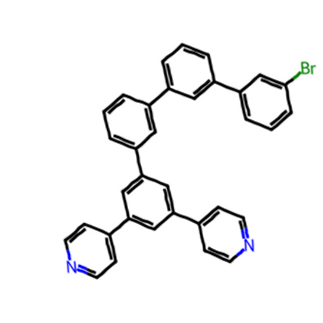 Brc1cccc(-c2cccc(-c3cccc(-c4cc(-c5ccncc5)cc(-c5ccncc5)c4)c3)c2)c1